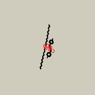 CCCCCCCCCCCCOOCCCCCCCCCCCC.Cc1ccc(C(=O)OOC(=O)c2ccc(C)cc2)cc1